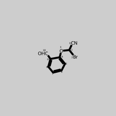 N#CC(Br)Oc1ccccc1C=O